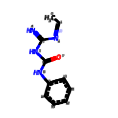 C/C=N\C(=N)NC(=O)Nc1ccccc1